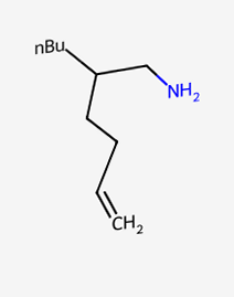 C=CCCC(CN)CCCC